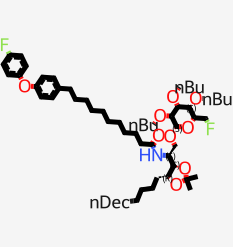 CCCCCCCCCCCCCC[C@H]1OC(C)(C)O[C@H]1[C@H](CO[C@H]1OC(CF)[C@@H](OCCCC)C(OCCCC)C1OCCCC)NC(=O)CCCCCCCCCCc1ccc(Oc2ccc(F)cc2)cc1